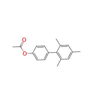 CC(=O)Oc1ccc(-c2c(C)cc(C)cc2C)cc1